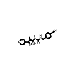 Cc1c(-c2ccncc2)n[nH]c1NC(=O)NCc1ccc(C#N)cc1